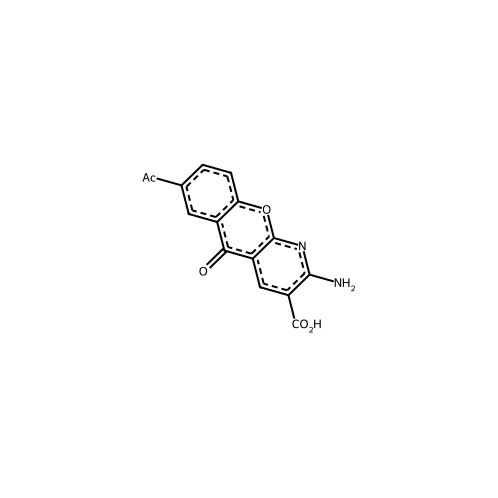 CC(=O)c1ccc2oc3nc(N)c(C(=O)O)cc3c(=O)c2c1